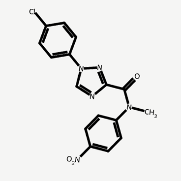 CN(C(=O)c1ncn(-c2ccc(Cl)cc2)n1)c1ccc([N+](=O)[O-])cc1